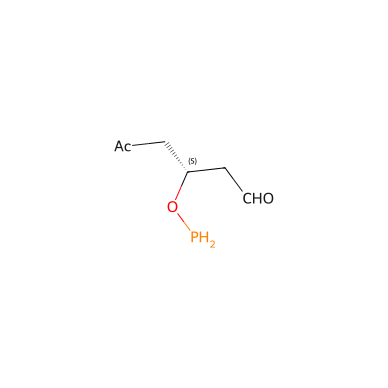 CC(=O)C[C@H](CC=O)OP